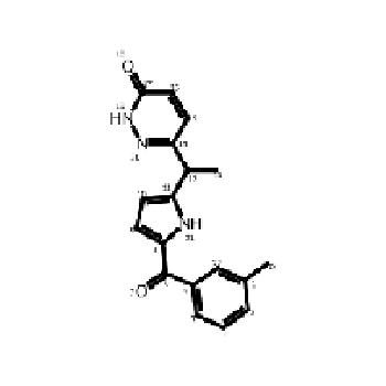 Cc1cccc(C(=O)c2ccc(C(C)c3ccc(=O)[nH]n3)[nH]2)c1